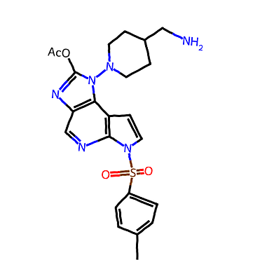 CC(=O)Oc1nc2cnc3c(ccn3S(=O)(=O)c3ccc(C)cc3)c2n1N1CCC(CN)CC1